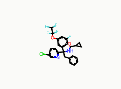 O=C(NC(Cc1ccccc1)(c1cc(F)cc(OC(F)(F)C(F)F)c1)c1ccc(Cl)cn1)C1CC1